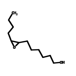 CCCCC1OC1CCCCCCO